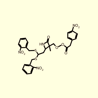 CC1(COOC(=O)Cc2ccc([N+](=O)[O-])cc2)C(=O)NC1CC(SCc1ccccc1[N+](=O)[O-])SCc1ccccc1[N+](=O)[O-]